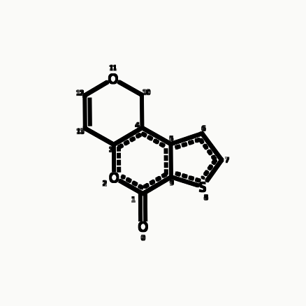 O=c1oc2c(c3ccsc13)COC=C2